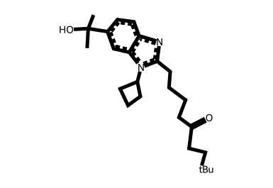 CC(C)(C)CCC(=O)CCCCc1nc2ccc(C(C)(C)O)cc2n1C1CCC1